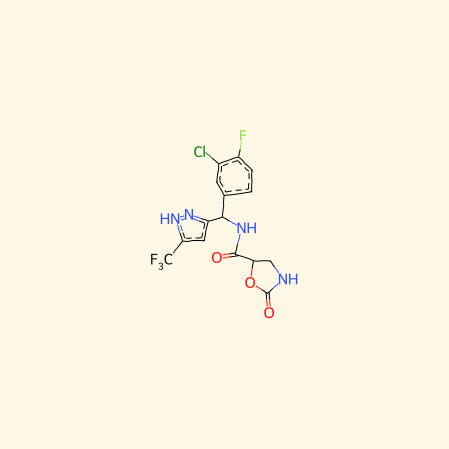 O=C1NCC(C(=O)NC(c2ccc(F)c(Cl)c2)c2cc(C(F)(F)F)[nH]n2)O1